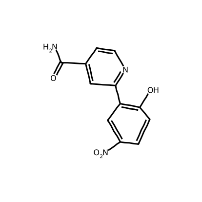 NC(=O)c1ccnc(-c2cc([N+](=O)[O-])ccc2O)c1